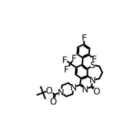 CC(C)(C)OC(=O)N1CCN(c2nc(=O)n3c4c(c(-c5ccc(F)cc5F)c(C(F)(F)F)cc24)SCCC3)CC1